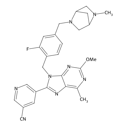 COc1nc(C)c2nc(-c3cncc(C#N)c3)n(Cc3ccc(CN4CC5CC4CN5C)cc3F)c2n1